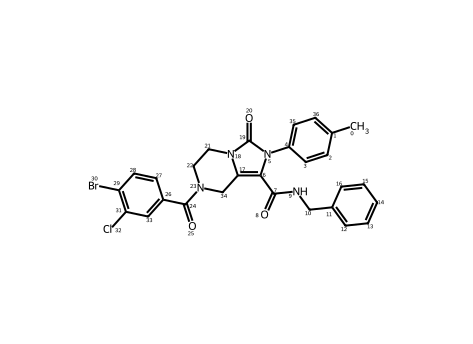 Cc1ccc(-n2c(C(=O)NCc3ccccc3)c3n(c2=O)CCN(C(=O)c2ccc(Br)c(Cl)c2)C3)cc1